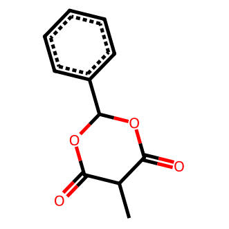 CC1C(=O)OC(c2ccccc2)OC1=O